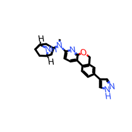 CN(c1ccc2c(n1)OCc1cc(-c3cn[nH]c3)ccc1-2)C1C[C@H]2CC[C@@H](C1)N2